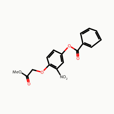 COC(=O)COc1ccc(OC(=O)c2ccccc2)cc1[N+](=O)[O-]